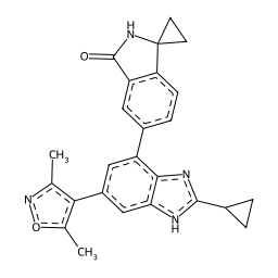 Cc1noc(C)c1-c1cc(-c2ccc3c(c2)C(=O)NC32CC2)c2nc(C3CC3)[nH]c2c1